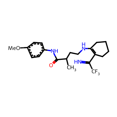 COc1ccc(NC(=O)C(C)CCNC2=C(C(=N)C(F)(F)F)CCCC2)cc1